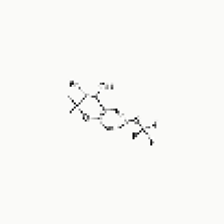 CC1(C)Oc2ccc(SC(F)(F)F)cc2C(O)C1Br